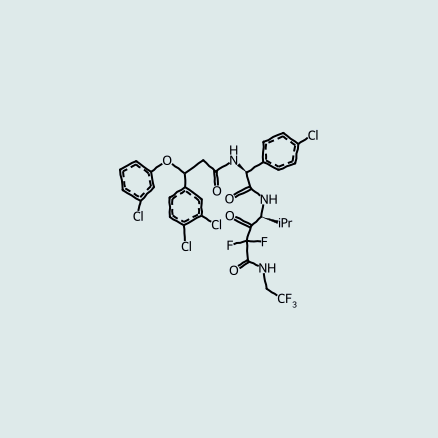 CC(C)[C@H](NC(=O)[C@@H](NC(=O)CC(Oc1cccc(Cl)c1)c1ccc(Cl)c(Cl)c1)c1ccc(Cl)cc1)C(=O)C(F)(F)C(=O)NCC(F)(F)F